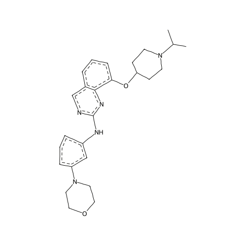 CC(C)N1CCC(Oc2cccc3cnc(Nc4cccc(N5CCOCC5)c4)nc23)CC1